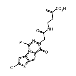 C=C(CCNC(=O)Cn1nc(C(C)C)n2c(cc3sc(Cl)cc32)c1=O)C(=O)O